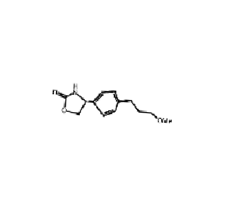 COCCCc1ccc([C@H]2COC(=O)N2)cc1